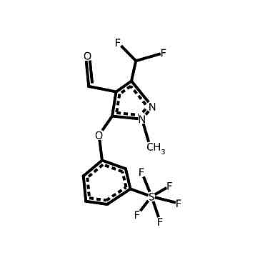 Cn1nc(C(F)F)c(C=O)c1Oc1cccc(S(F)(F)(F)(F)F)c1